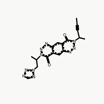 CC#CC(C)n1nnc2cc3c(=O)n(C(C)Cn4ncnn4)nnc3cc2c1=O